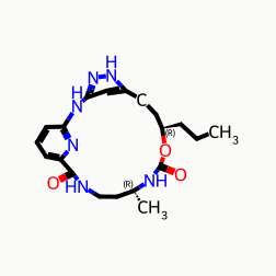 CCC[C@@H]1CCc2cc(n[nH]2)Nc2cccc(n2)C(=O)NCC[C@@H](C)NC(=O)O1